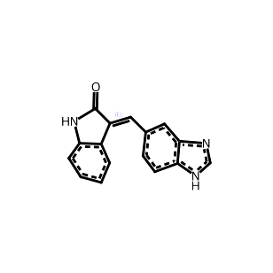 O=C1Nc2ccccc2/C1=C\c1ccc2[nH]cnc2c1